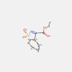 CCOC(=O)C1=NS(=O)(=O)c2ccccc21